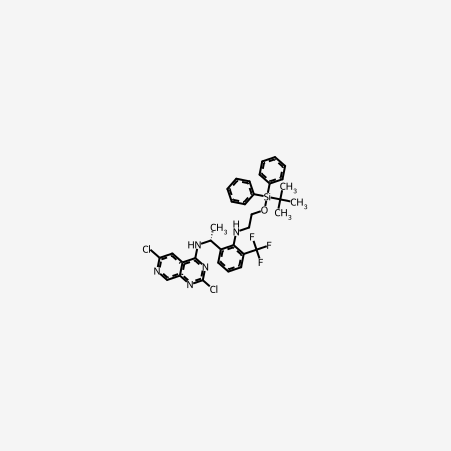 C[C@@H](Nc1nc(Cl)nc2cnc(Cl)cc12)c1cccc(C(F)(F)F)c1NCCO[Si](c1ccccc1)(c1ccccc1)C(C)(C)C